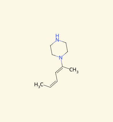 C/C=C\C=C(/C)N1CCNCC1